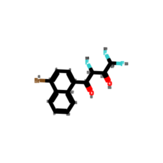 O=C(c1ccc(Br)c2ccccc12)C(F)C(=O)C(F)F